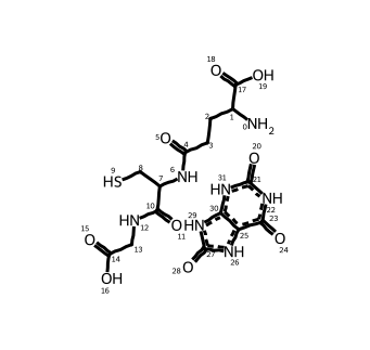 NC(CCC(=O)NC(CS)C(=O)NCC(=O)O)C(=O)O.O=c1[nH]c(=O)c2[nH]c(=O)[nH]c2[nH]1